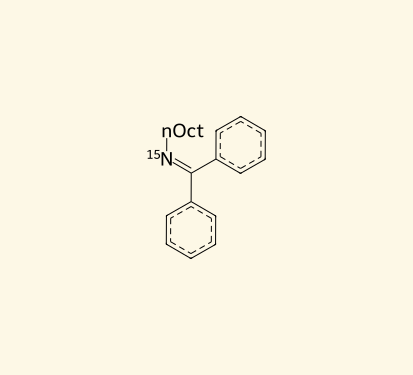 CCCCCCCC[15N]=C(c1ccccc1)c1ccccc1